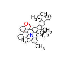 Cc1cc(C)c(N2c3cc4c(cc3C3(c5ccccc5Oc5ccccc53)c3cc5ccccc5cc32)-c2cc3c(cc2C4(C)C)-c2ccccc2C3(C)C)c(C)c1